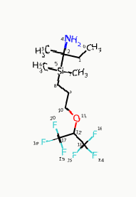 CCC(C)(N)[Si](C)(C)CCCOC(C(F)(F)F)C(F)(F)F